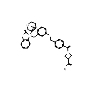 COC(=O)C1CN(C(=O)c2ccc(COc3cccc(C[N+]4([C@H]5CN6CCC5CC6)C(=O)Oc5ccccc54)c3)cc2)C1